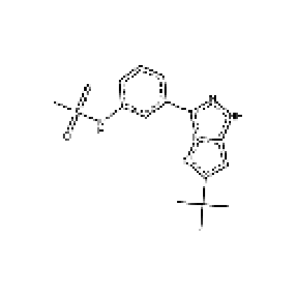 CC(C)(C)c1cc2[nH]nc(-c3cccc(NS(C)(=O)=O)c3)n2n1